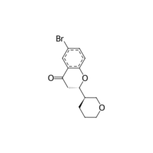 O=C1C[C@@H]([C@@H]2CCCOC2)Oc2ccc(Br)cc21